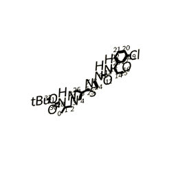 CC(Cn1cc(-c2nc(NC(=O)N[C@H]3CCOc4c(Cl)cccc43)cs2)cn1)NC(=O)OC(C)(C)C